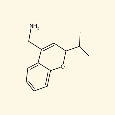 CC(C)C1C=C(CN)c2ccccc2O1